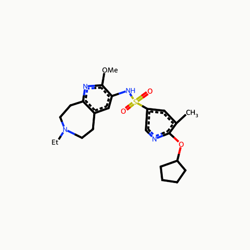 CCN1CCc2cc(NS(=O)(=O)c3cnc(OC4CCCC4)c(C)c3)c(OC)nc2CC1